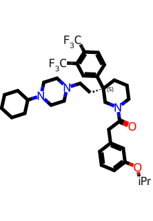 CC(C)Oc1cccc(CC(=O)N2CCC[C@](CCN3CCN(C4CCCCC4)CC3)(c3ccc(C(F)(F)F)c(C(F)(F)F)c3)C2)c1